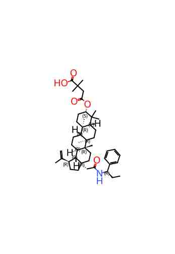 C=C(C)[C@@H]1CC[C@]2(CC(=O)N[C@H](CC)c3ccccc3)CC[C@]3(C)[C@H](CC[C@@H]4[C@@]5(C)CC[C@H](OC(=O)CC(C)(C)C(=O)O)C(C)(C)[C@@H]5CC[C@]43C)[C@@H]12